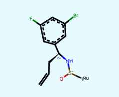 C=CC[C@H](N[S+]([O-])C(C)(C)C)c1cc(F)cc(Br)c1